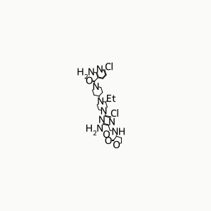 CC[C@H]1CN(c2nc(N)c(C(=O)NC3CCOC3=O)nc2Cl)CCN1C1CCN(C(=O)c2ccc(Cl)nc2N)CC1